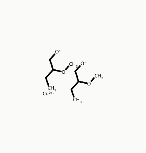 CCC(C[O-])OC.CCC(C[O-])OC.[Cu+2]